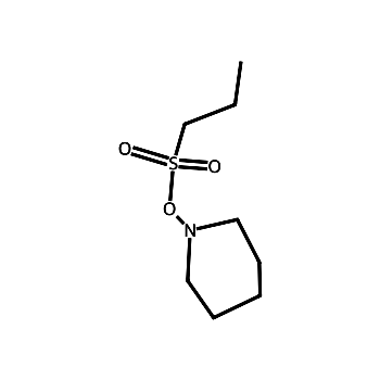 CCCS(=O)(=O)ON1CCCCC1